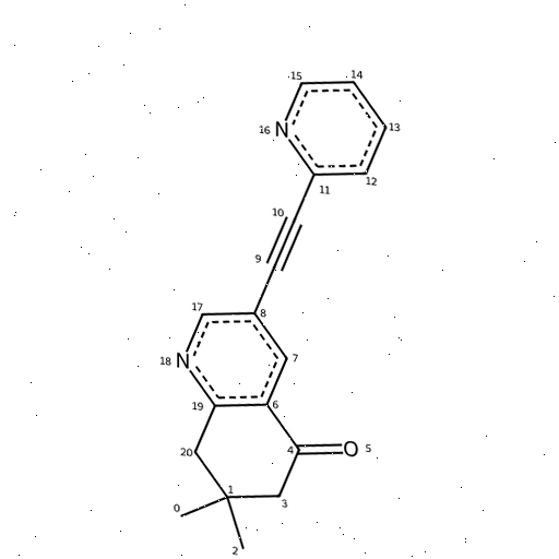 CC1(C)CC(=O)c2cc(C#Cc3ccccn3)cnc2C1